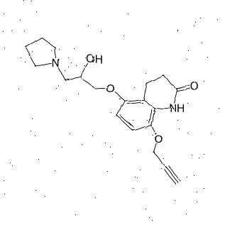 C#CCOc1ccc(OCC(O)CN2CCCC2)c2c1NC(=O)CC2